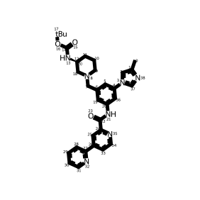 Cc1cn(-c2cc(CN3CCC[C@H](NC(=O)OC(C)(C)C)C3)cc(NC(=O)c3cc(-c4ccccn4)ccn3)c2)cn1